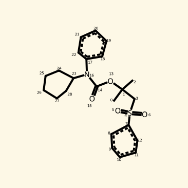 CC(C)(CS(=O)(=O)c1ccccc1)OC(=O)N(c1ccccc1)C1CCCCC1